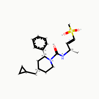 C[C@@H](/C=C/S(C)(=O)=O)NC(=O)N1CC[C@H](CC2CC2)C[C@@H]1c1ccccc1